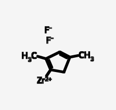 CC1=CC(C)=[C]([Zr+2])C1.[F-].[F-]